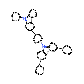 c1ccc(-c2ccc3c(c2)c2cc(-c4ccccc4)ccc2n3-c2ccc(-c3ccc4c(c3)c3ccccc3n4-c3ccccc3)cc2)cc1